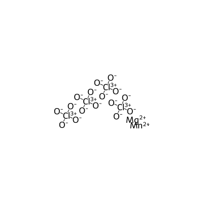 [Mg+2].[Mn+2].[O-][Cl+3]([O-])([O-])[O-].[O-][Cl+3]([O-])([O-])[O-].[O-][Cl+3]([O-])([O-])[O-].[O-][Cl+3]([O-])([O-])[O-]